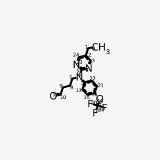 CCc1cnc(N(CCCC=O)c2ccc(OC(F)(F)F)cc2)nc1